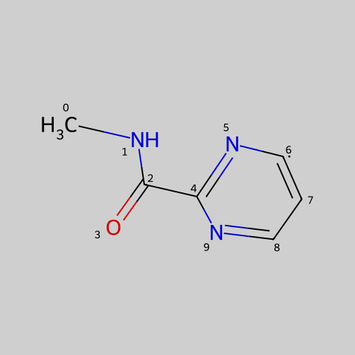 CNC(=O)c1n[c]ccn1